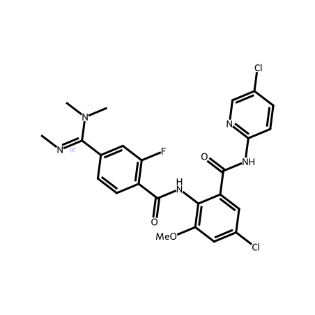 C/N=C(/c1ccc(C(=O)Nc2c(OC)cc(Cl)cc2C(=O)Nc2ccc(Cl)cn2)c(F)c1)N(C)C